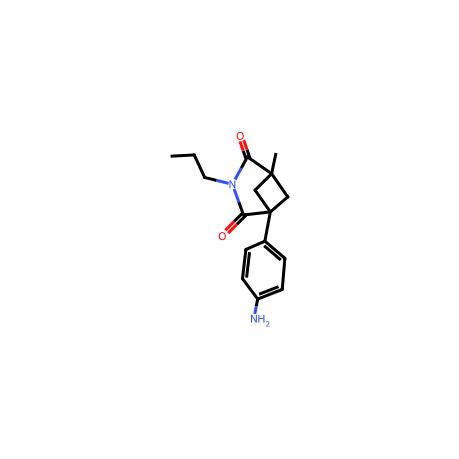 CCCN1C(=O)C2(C)CC(c3ccc(N)cc3)(C2)C1=O